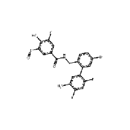 Nc1cc(-c2cc(Br)ccc2CNC(=O)c2cc(Cl)c(O)c([S+]=O)c2)c(F)cc1F